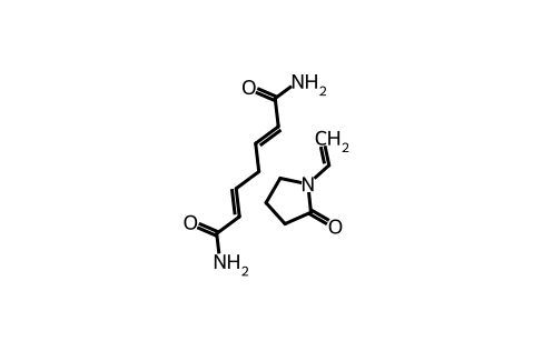 C=CN1CCCC1=O.NC(=O)C=CCC=CC(N)=O